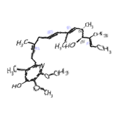 C/C=C(\C)[C@@H](O)[C@@H](C)/C=C(C)/C=C/C/C(C)=C/Cc1nc(OC)c(OC)c(O)c1C